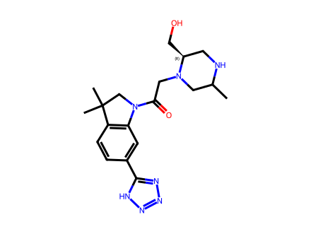 CC1CN(CC(=O)N2CC(C)(C)c3ccc(-c4nnn[nH]4)cc32)[C@@H](CO)CN1